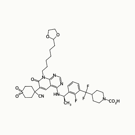 C[C@@H](Nc1ncnc2c1cc(C1(C#N)CCS(=O)(=O)CC1)c(=O)n2CCCCCCC1OCCO1)c1cccc(C(F)(F)C2CCN(C(=O)O)CC2)c1F